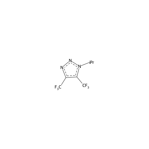 CC(C)n1nnc(C(F)(F)F)c1C(F)(F)F